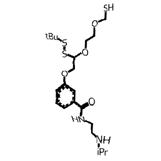 CC(C)NCCNC(=O)c1cccc(OCC(OCCOCS)SSC(C)(C)C)c1